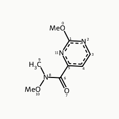 COc1nccc(C(=O)N(C)OC)n1